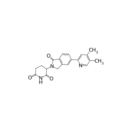 Cc1cnc(-c2ccc3c(c2)CN(C2CCC(=O)NC2=O)C3=O)cc1C